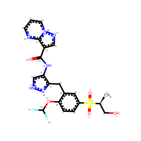 C[C@@H](CO)S(=O)(=O)c1ccc(OC(F)F)c(Cc2n[nH]cc2NC(=O)c2cnn3cccnc23)c1